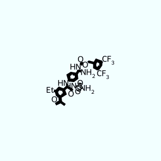 CCc1cc(C(Nc2ccc(C(N)NC(=O)OCc3cc(C(F)(F)F)cc(C(F)(F)F)c3)cc2)C(=O)NS(N)(=O)=O)cc2c(C)coc12